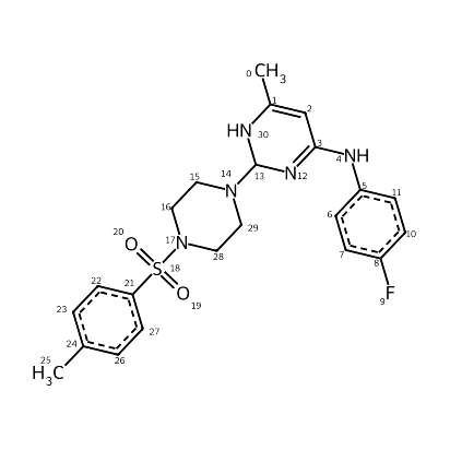 CC1=CC(Nc2ccc(F)cc2)=NC(N2CCN(S(=O)(=O)c3ccc(C)cc3)CC2)N1